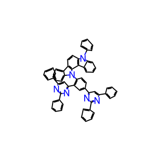 c1ccc(-c2cc(-c3ccc(-n4c5ccccc5c5ccc6c(c7ccccc7n6-c6ccccc6)c54)c(-c4cc(-c5ccccc5)nc(-c5ccccc5)n4)c3)nc(-c3ccccc3)n2)cc1